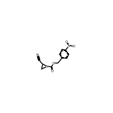 N#CC1CN1C(=O)OCc1ccc([N+](=O)[O-])cc1